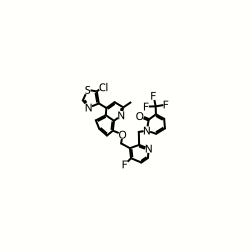 Cc1cc(-c2ncsc2Cl)c2cccc(OCc3c(F)ccnc3Cn3cccc(C(F)(F)F)c3=O)c2n1